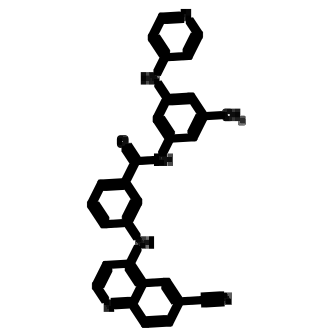 Cc1cc(NC(=O)c2cccc(Nc3ccnc4ccc(C#N)cc34)c2)cc(Nc2ccncc2)c1